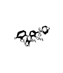 O=S(=O)(c1cccc(Nc2nsnc2Nc2cccc(Cl)c2Cl)c1O)N1CCOCC1